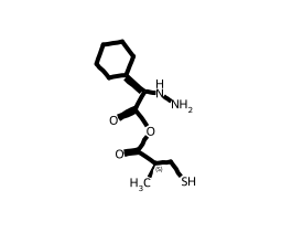 C[C@H](CS)C(=O)OC(=O)C(NN)=C1CCCCC1